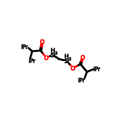 CC(C)C(C(=O)O[SiH2]C[SiH2]OC(=O)C(C(C)C)C(C)C)C(C)C